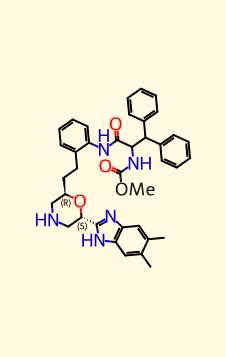 COC(=O)NC(C(=O)Nc1ccccc1CC[C@@H]1CNC[C@@H](c2nc3cc(C)c(C)cc3[nH]2)O1)C(c1ccccc1)c1ccccc1